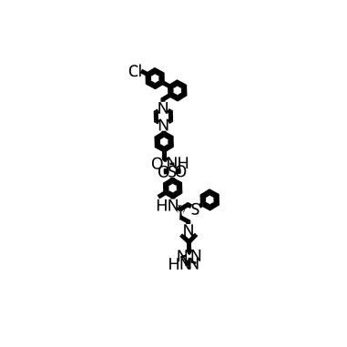 Cc1cc(S(=O)(=O)NC(=O)c2ccc(N3CCN(Cc4ccccc4-c4ccc(Cl)cc4)CC3)cc2)ccc1N[C@H](CCN1CC(c2nn[nH]n2)C1)CSc1ccccc1